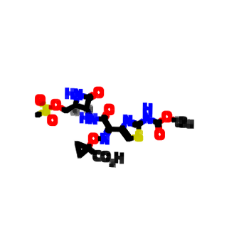 CC(C)(C)OC(=O)Nc1nc(C(=NOC2(C(=O)O)CC2)C(=O)N[C@@H]2C(=O)N[C@@H]2COS(C)(=O)=O)cs1